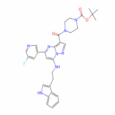 CC(C)(C)OC(=O)N1CCN(C(=O)c2cnn3c(NCCc4c[nH]c5ccccc45)cc(-c4cncc(F)c4)nc23)CC1